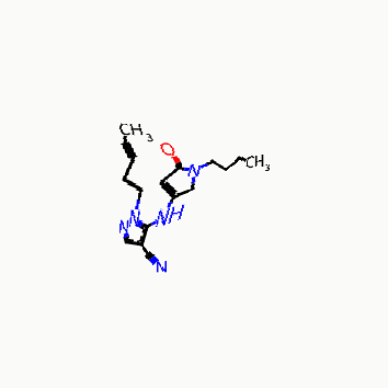 CC#CCCn1ncc(C#N)c1NC1=CC(=O)N(CCCC)C1